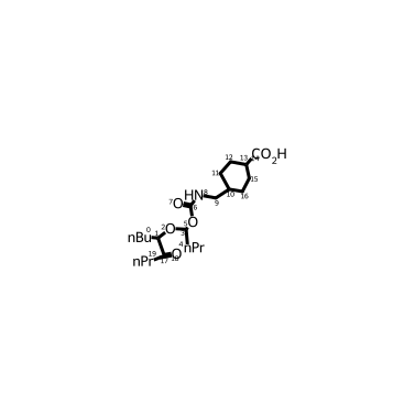 CCCCC(OC(CCC)OC(=O)NCC1CCC(C(=O)O)CC1)C(=O)CCC